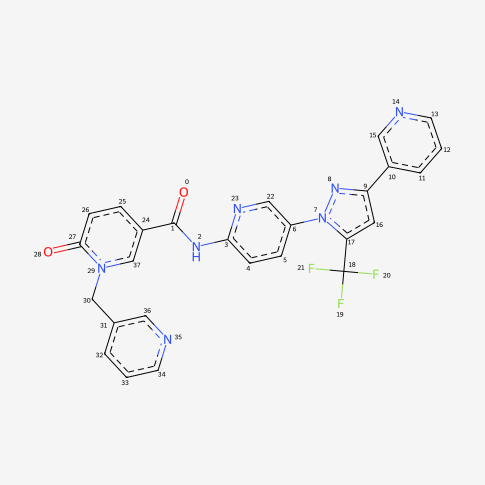 O=C(Nc1ccc(-n2nc(-c3cccnc3)cc2C(F)(F)F)cn1)c1ccc(=O)n(Cc2cccnc2)c1